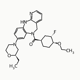 CCO[C@H]1CC[C@@H](C(=O)N2Cc3cccnc3Nc3ccc(N4CCO[C@H](CC)C4)cc32)C[C@@H]1F